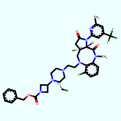 Cc1cc(C(F)(F)F)cc(N2C(=O)C[C@@H]3CN(CCN4CCN(C5CN(C(=O)OCc6ccccc6)C5)[C@@H](CF)C4)c4c(F)cccc4N(C)C(=O)[C@H]32)n1